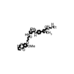 CCNCCNC(=O)c1cc(-c2ccc(NC(=O)c3cc(NC(=O)CCCOc4cc5c(cc4OC)C(=O)N4CCC[C@H]4C=N5)cn3C)cc2)cn1C